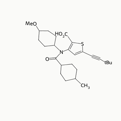 COC1CCC(N(C(=O)C2CCC(C)CC2)c2cc(C#CC(C)(C)C)sc2C(=O)O)CC1